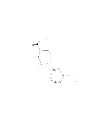 COc1ccnc(N2CCN(C(=O)O)C[C@@H]2C)c1